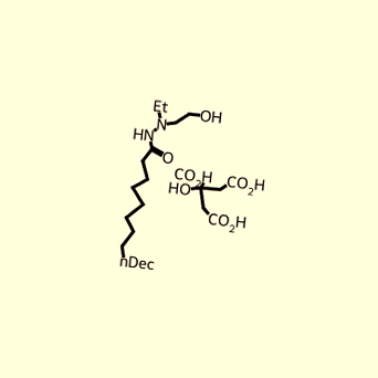 CCCCCCCCCCCCCCCCCC(=O)NN(CC)CCO.O=C(O)CC(O)(CC(=O)O)C(=O)O